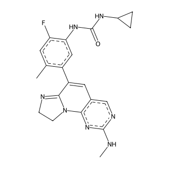 CNc1ncc2c(n1)N1CCN=C1C(c1cc(NC(=O)NC3CC3)c(F)cc1C)=C2